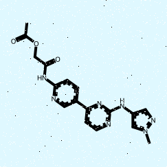 CC(=O)OCC(=O)Nc1ccc(-c2ccnc(Nc3cnn(C)c3)n2)cn1